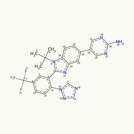 CC(C)(C)n1c(-c2cc(C(F)(F)F)ccc2-n2cncn2)nc2cc(-c3cnc(N)nc3)ccc21